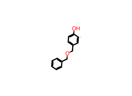 Oc1[c]cc(COCc2ccccc2)cc1